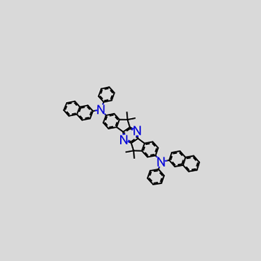 CC1(C)c2cc(N(c3ccccc3)c3ccc4ccccc4c3)ccc2-c2nc3c(nc21)-c1ccc(N(c2ccccc2)c2ccc4ccccc4c2)cc1C3(C)C